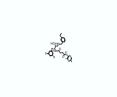 CCc1cccc(CNC[C@H](O)[C@H](Cc2cc(F)cc(F)c2)NC(=O)CCC(=O)Nc2ncc(C)nc2C)c1